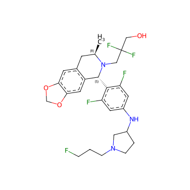 C[C@@H]1Cc2cc3c(cc2[C@@H](c2c(F)cc(NC4CCN(CCCF)C4)cc2F)N1CC(F)(F)CO)OCO3